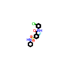 O=C(Nc1cccc(Cl)c1)c1cc(S(=O)(=O)NC2CCCCC2)ccc1F